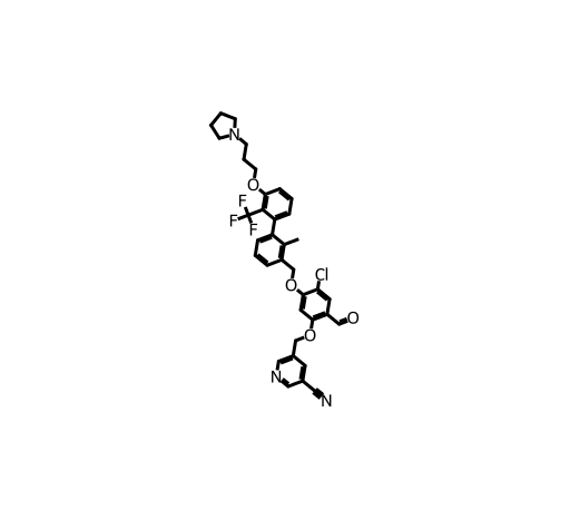 Cc1c(COc2cc(OCc3cncc(C#N)c3)c(C=O)cc2Cl)cccc1-c1cccc(OCCCN2CCCC2)c1C(F)(F)F